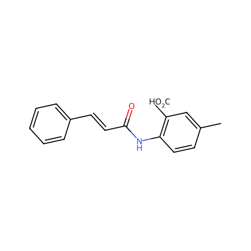 Cc1ccc(NC(=O)C=Cc2ccccc2)c(C(=O)O)c1